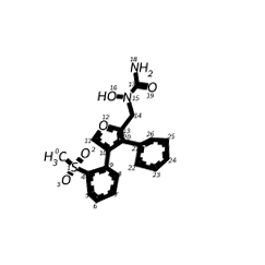 CS(=O)(=O)c1ccccc1-c1coc(CN(O)C(N)=O)c1-c1ccccc1